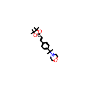 CC(C)(c1ccc(C=CB2OC(C)(C)C(C)(C)O2)cc1)N1CCOCC1